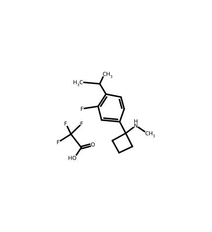 CNC1(c2ccc(C(C)C)c(F)c2)CCC1.O=C(O)C(F)(F)F